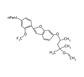 C=COC(C)(C)CC(C)Oc1ccc2cc(-c3ccc(CCCCC)cc3OC(F)(F)F)oc2c1